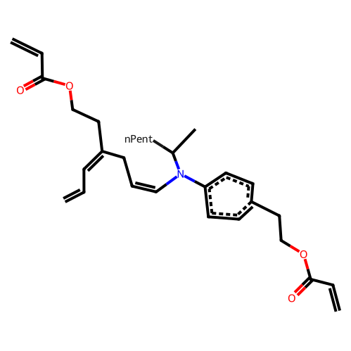 C=C/C=C(\C/C=C\N(c1ccc(CCOC(=O)C=C)cc1)C(C)CCCCC)CCOC(=O)C=C